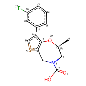 C[C@H]1CN(C(=O)O)Cc2scc(-c3cccc(F)c3)c2O1